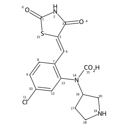 O=C1NC(=O)C(=Cc2ccc(Cl)cc2N(C(=O)O)C2CCNC2)S1